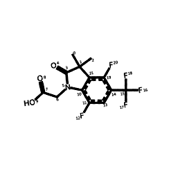 CC1(C)C(=O)N(CC(=O)O)c2c(F)cc(C(F)(F)F)c(F)c21